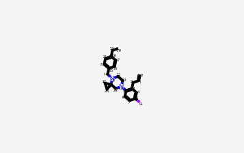 C=CCc1cc(I)ccc1N1CCN(Cc2ccc(CC)cc2)C2(CC2)C1